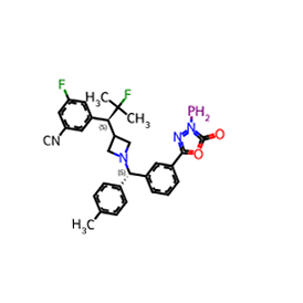 [C-]#[N+]c1cc(F)cc([C@H](C2CN([C@@H](c3ccc(C)cc3)c3cccc(-c4nn(P)c(=O)o4)c3)C2)C(C)(C)F)c1